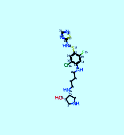 O[C@H]1CNC[C@H]1NCCCCNc1cc(F)c(SNc2ncns2)cc1Cl